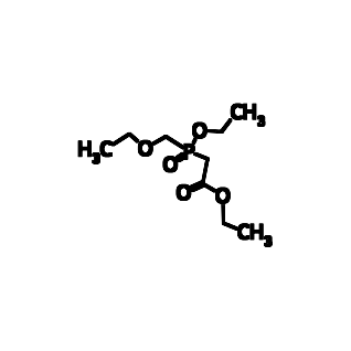 CCOCP(=O)(CC(=O)OCC)OCC